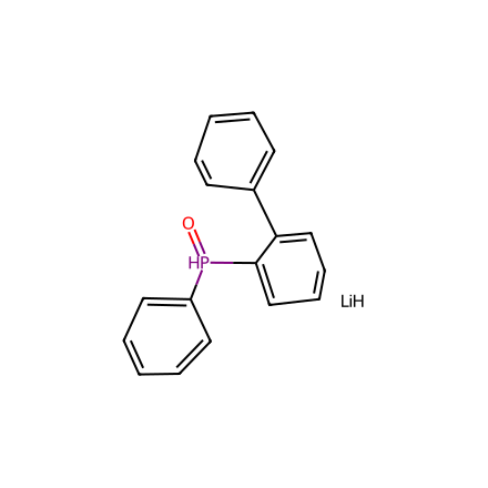 O=[PH](c1ccccc1)c1ccccc1-c1ccccc1.[LiH]